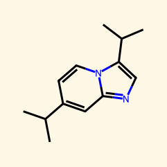 CC(C)c1ccn2c(C(C)C)cnc2c1